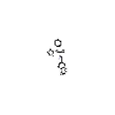 O=C(/C=C/c1ccc2c(c1)OCO2)N(c1ccccc1)c1nccs1